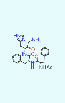 CC(=O)N[C@@H](Cc1ccccc1)C(=O)N[C@@H](Cc1ccccc1)C(=O)N[C@@H](Cc1c[nH]cn1)C(=O)CN